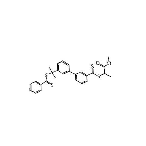 COC(=O)C(C)SC(=S)c1cccc(-c2cccc(C(C)(C)SC(=S)c3ccccc3)c2)c1